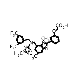 Cn1nnc(N(Cc2cc(C(F)(F)F)cc(C(F)(F)F)c2)Cc2cc(C(F)(F)F)cc3nc(-c4cccc(OCC(=O)O)c4)n(C)c23)n1